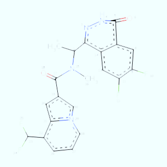 CC(c1n[nH]c(=O)c2cc(F)c(F)cc12)N(C)C(=O)c1cc2c(C(F)F)cccn2c1